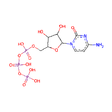 Nc1ccn(C2OC(COP(=O)(O)OP(=O)(O)OP(=O)(O)O)C(O)C2O)c(=O)n1